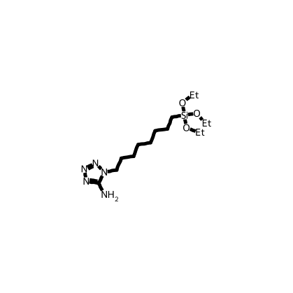 CCO[Si](CCCCCCCCn1nnnc1N)(OCC)OCC